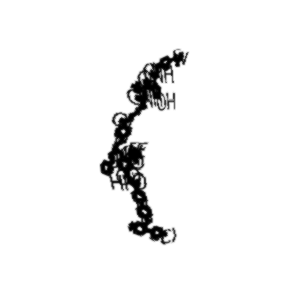 Cc1ncsc1-c1ccc([C@H](C)NC(=O)[C@@H]2C[C@@H](O)CN2C(=O)C(NC(=O)CCCCCC(=O)N2CCN(CCC(CSc3ccccc3)Nc3ccc(S(=O)(=O)NC(=O)c4ccc(N5CCN(CC6=C(c7ccc(Cl)cc7)CCC(C)(C)C6)CC5)cc4)cc3S(=O)(=O)C(F)(F)F)CC2)C(C)(C)C)cc1